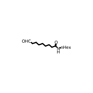 CCCCCCNC(=O)CCCCCCCC=O